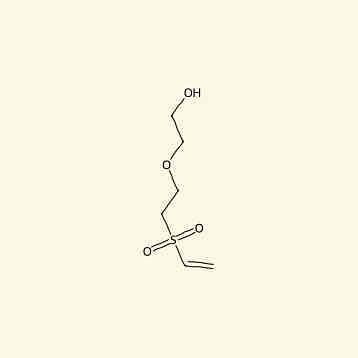 C=CS(=O)(=O)CCOCCO